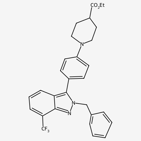 CCOC(=O)C1CCN(c2ccc(-c3c4cccc(C(F)(F)F)c4nn3Cc3ccccc3)cc2)CC1